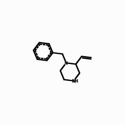 C=CC1CNCCN1Cc1ccccc1